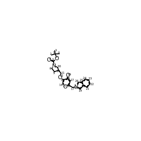 CC(C)(C)OC(=O)N1CCC(COc2coc(Cn3cc4ccccc4c3)cc2=O)C1